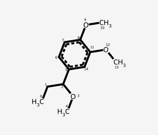 CCC(OC)c1ccc(OC)c(OC)c1